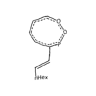 CCCCCCC=Cc1ccccoop1